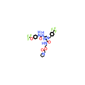 O=C(Nc1ccc(OC(F)(F)F)cc1)Nc1cn(Cc2ccc(C(F)(F)F)cc2)c(C(=O)NCCOC(=O)CN2CCCC2)n1